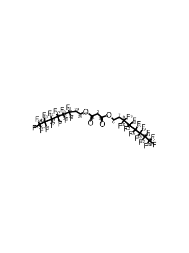 O=C(CC(=O)OCCC(F)(F)C(F)(F)C(F)(F)C(F)(F)C(F)(F)C(F)(F)F)OCCC(F)(F)C(F)(F)C(F)(F)C(F)(F)C(F)(F)C(F)(F)F